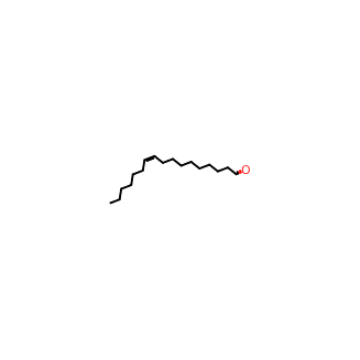 CCCCCC/C=C\CCCCCCCCC=O